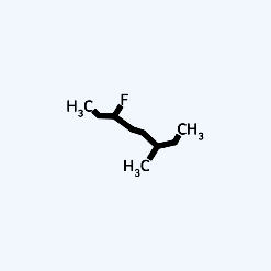 CCC(C)CCC(F)CC